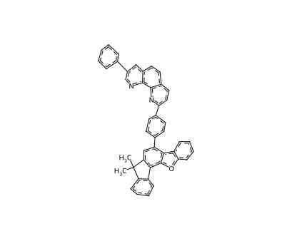 CC1(C)c2ccccc2-c2c1cc(-c1ccc(-c3ccc4ccc5cc(-c6ccccc6)cnc5c4n3)cc1)c1c2oc2ccccc21